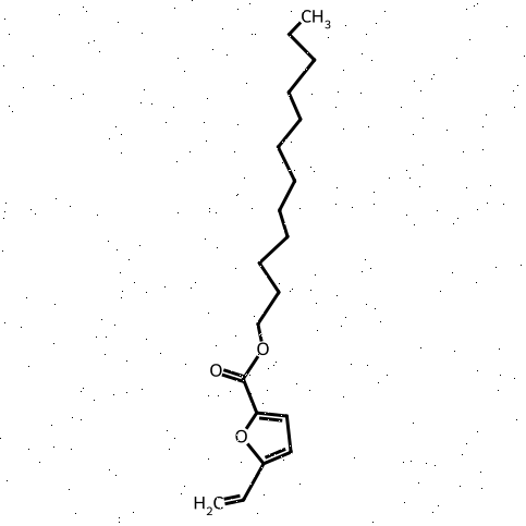 C=Cc1ccc(C(=O)OCCCCCCCCCCCC)o1